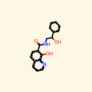 O=C(NCC(O)c1ccccc1)c1ccc2cccnc2c1O